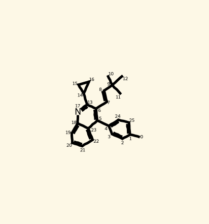 Cc1ccc(-c2c(/C=C/C(C)(C)C)c(C3CC3)nc3ccccc23)cc1